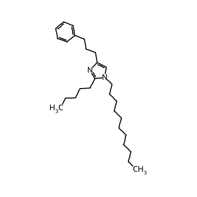 CCCCCCCCCCCn1cc(CCCc2ccccc2)nc1CCCCC